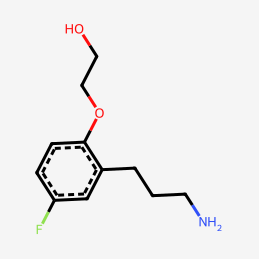 NCCCc1cc(F)ccc1OCCO